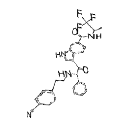 C[C@@H](NC(=O)c1ccc2c(C(=O)[C@@H](NCCc3ccc(C#N)cc3)c3ccccc3)c[nH]c2c1)C(F)(F)F